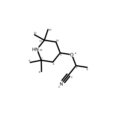 CC(C#N)OC1CC(C)(C)NC(C)(C)C1